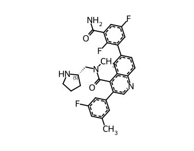 Cc1cc(F)cc(-c2cnc3ccc(-c4cc(F)cc(C(N)=O)c4F)cc3c2C(=O)N(C)C[C@@H]2CCCN2)c1